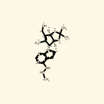 CPNc1ncnc2c1ccn2[C@@H]1C(C)=C(CO)[C@H]2OC(C)(C)O[C@H]21